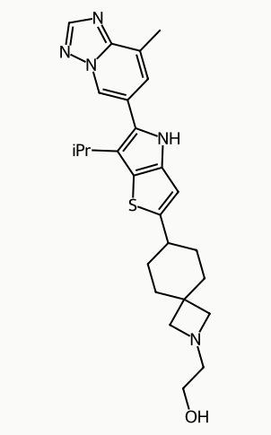 Cc1cc(-c2[nH]c3cc(C4CCC5(CC4)CN(CCO)C5)sc3c2C(C)C)cn2ncnc12